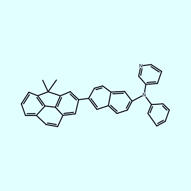 CC1(C)c2cccc3ccc4cc(-c5ccc6cc(N(c7ccccc7)c7cccnc7)ccc6c5)cc1c4c23